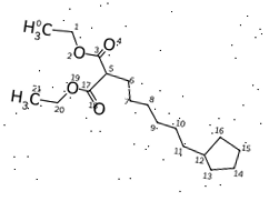 CCOC(=O)C(CCCCCCC1CCCC1)C(=O)OCC